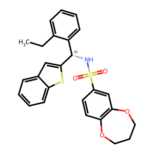 CCc1ccccc1[C@H](NS(=O)(=O)c1ccc2c(c1)OCCCO2)c1cc2ccccc2s1